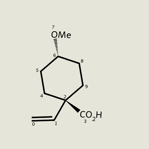 C=C[C@]1(C(=O)O)CC[C@H](OC)CC1